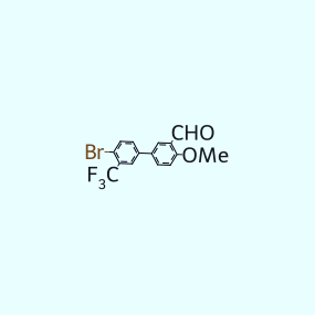 COc1ccc(-c2ccc(Br)c(C(F)(F)F)c2)cc1C=O